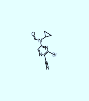 N#Cc1ncc(N(C=O)C2CC2)nc1Br